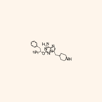 CCCC(Cc1ccccc1)Oc1nc(N)c2ncc(CC3CCNCC3)n2n1